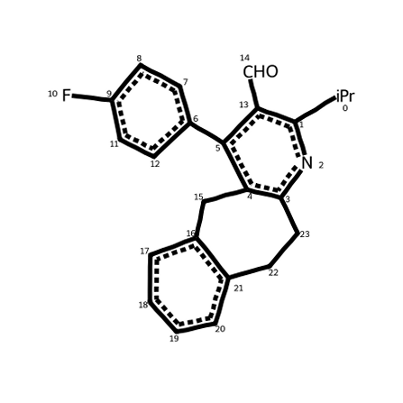 CC(C)c1nc2c(c(-c3ccc(F)cc3)c1C=O)Cc1ccccc1CC2